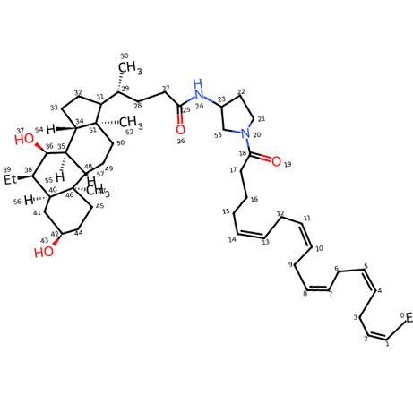 CC/C=C\C/C=C\C/C=C\C/C=C\C/C=C\CCCC(=O)N1CCC(NC(=O)CC[C@@H](C)C2CC[C@H]3[C@@H]4[C@H](O)[C@H](CC)[C@@H]5C[C@H](O)CC[C@]5(C)[C@H]4CC[C@]23C)C1